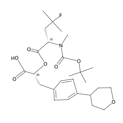 CN(C(=O)OC(C)(C)C)[C@@H](CC(C)(C)F)C(=O)O[C@H](Cc1ccc(C2CCOCC2)cc1)C(=O)O